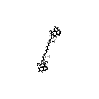 O=C1c2cccc3cccc(c23)C(=O)N1CCCNCCCCCCCNCCCN1C(=O)c2cccc3cccc(c23)C1=O